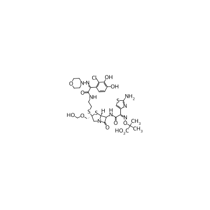 CC(C)(O/N=C(\C(=O)NC1C(=O)N2C[C@@](COCO)(SCCNC(=O)/C(=N\N3CCOCC3)c3ccc(O)c(O)c3Cl)S[C@H]12)c1csc(N)n1)C(=O)O